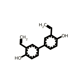 C=Cc1cc(-c2ccc(O)c(C=C)c2)ccc1O